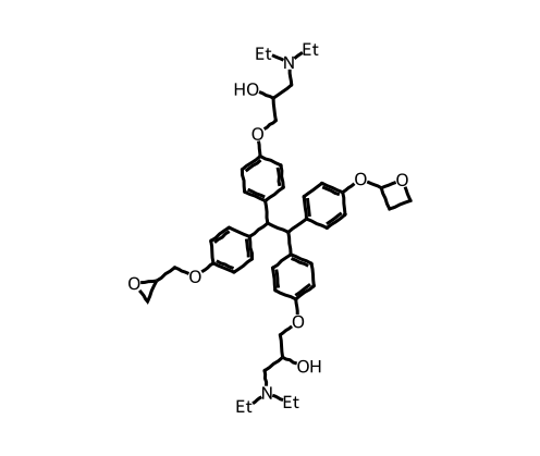 CCN(CC)CC(O)COc1ccc(C(c2ccc(OCC3CO3)cc2)C(c2ccc(OCC(O)CN(CC)CC)cc2)c2ccc(OC3CCO3)cc2)cc1